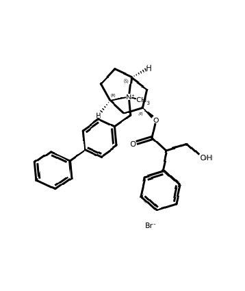 C[N+]1(Cc2ccc(-c3ccccc3)cc2)[C@@H]2CC[C@H]1C[C@@H](OC(=O)C(CO)c1ccccc1)C2.[Br-]